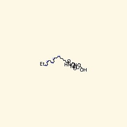 CC/C=C\C/C=C\C/C=C\C/C=C\C/C=C\CCCCCC(=O)Nc1ccn(C2CCC(CO)O2)c(=O)n1